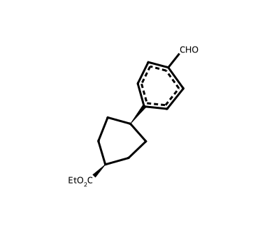 CCOC(=O)[C@H]1CC[C@@H](c2ccc(C=O)cc2)CC1